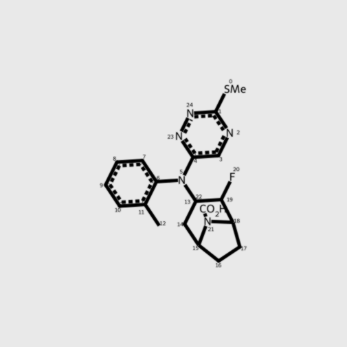 CSc1ncc(N(c2ccccc2C)C2CC3CCC(C2F)N3C(=O)O)nn1